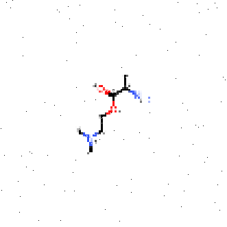 CC(N)C(=O)OCCN(C)C